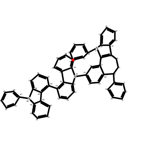 c1ccc(C2CCc3c(n(-c4ccccc4)c4ccccc34)-c3cc(-n4c5ccccc5c5c(-c6cccc7c6c6ccccc6n7-c6ccccc6)cccc54)ccc32)cc1